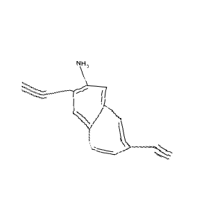 C#Cc1ccc2cc(C#C)c(N)cc2c1